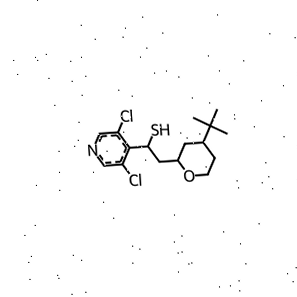 CC(C)(C)C1CCOC(CC(S)c2c(Cl)cncc2Cl)C1